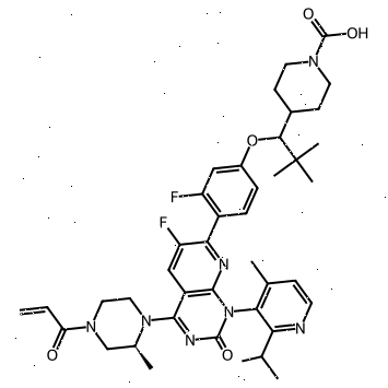 C=CC(=O)N1CCN(c2nc(=O)n(-c3c(C)ccnc3C(C)C)c3nc(-c4ccc(OC(C5CCN(C(=O)O)CC5)C(C)(C)C)cc4F)c(F)cc23)[C@@H](C)C1